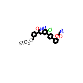 CCOC(=O)Cc1cccc(-c2cc3cc(-c4ccc(-c5ccccc5OC(=O)CN(C)C)cc4)c(Cl)cc3[nH]c2=O)c1